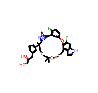 Cn1nc2nc1-c1cc(ccc1F)Oc1c(F)cc3[nH]ccc3c1CCSCC(C)(C)CCCC2(C)c1cccc(CC(O)CO)c1